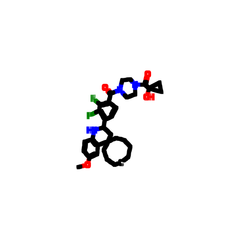 COc1ccc2c(c1)C1(CCCCCCCC1)CC(c1ccc(C(=O)N3CCN(C(=O)C4(O)CC4)CC3)c(F)c1F)N2